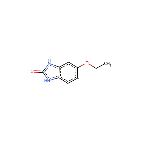 CCOc1[c]cc2[nH]c(=O)[nH]c2c1